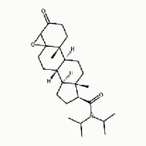 CC(C)N(C(=O)[C@H]1CC[C@H]2[C@@H]3CCC45OC4C(=O)CC[C@]5(C)[C@H]3CC[C@]12C)C(C)C